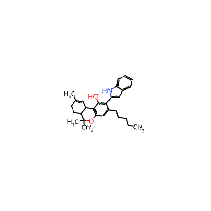 CCCCCc1cc2c(c(O)c1-c1cc3ccccc3[nH]1)C1C=C(C)CCC1C(C)(C)O2